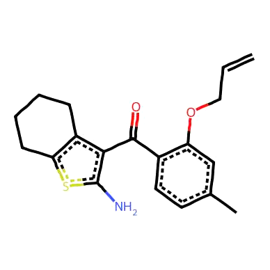 C=CCOc1cc(C)ccc1C(=O)c1c(N)sc2c1CCCC2